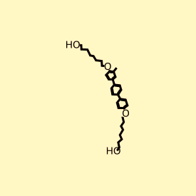 Cc1cc(-c2ccc(-c3ccc(OCCCCCCCCO)cc3)cc2)ccc1OCCCCCCCCO